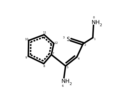 NCC(=S)/C=C(/N)c1ccccc1